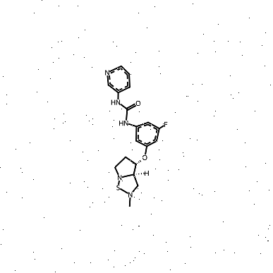 CN1C[C@@H]2[C@@H](Oc3cc(F)cc(NC(=O)Nc4cccnc4)c3)CCN2S1